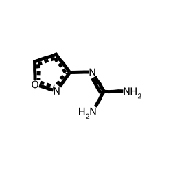 NC(N)=Nc1ccon1